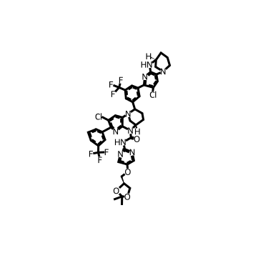 CC1(C)OC[C@H](COc2cnc(NC(=O)N3c4nc(-c5cccc(C(F)(F)F)c5)c(Cl)cc4N4C[C@@H]3CCC4c3cc(-c4nc5c(cc4Cl)N4CCC[C@@H](C4)N5)cc(C(F)(F)F)c3)nc2)O1